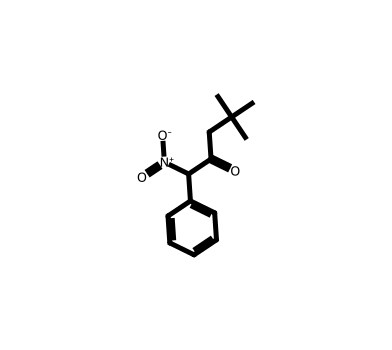 CC(C)(C)CC(=O)C(c1ccccc1)[N+](=O)[O-]